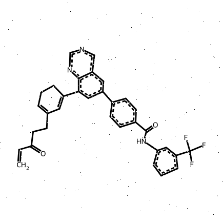 C=CC(=O)CCC1=CCCC(c2cc(-c3ccc(C(=O)Nc4cccc(C(F)(F)F)c4)cc3)cc3cncnc23)=C1